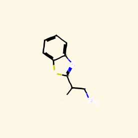 CC(CN)c1nc2ccccc2s1